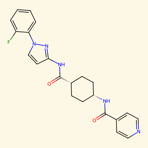 O=C(N[C@H]1CC[C@@H](C(=O)Nc2ccn(-c3ccccc3F)n2)CC1)c1ccncc1